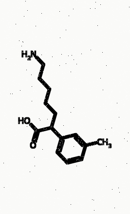 Cc1cccc(C(CCCCCN)C(=O)O)c1